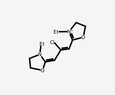 CCN1CCO/C1=C/C(Cl)=C/C1=[N+](CC)CCO1